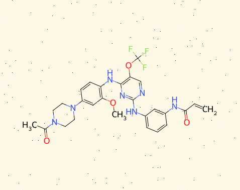 C=CC(=O)Nc1cccc(Nc2ncc(OC(F)(F)F)c(Nc3ccc(N4CCN(C(C)=O)CC4)cc3OC)n2)c1